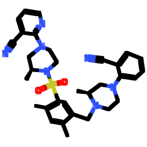 Cc1cc(C)c(S(=O)(=O)N2CCN(c3ncccc3C#N)C[C@@H]2C)cc1CN1CCN(c2ccccc2C#N)C[C@@H]1C